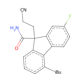 CCC(C)c1cccc2c1-c1ccc(F)cc1C2(CCC#N)C(N)=O